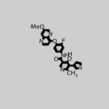 COc1cnc2c(Oc3ccc(NC(=O)c4cnc(C)c(-c5ccsc5)c4O)cc3F)ccnc2c1